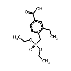 CCOP(=O)(Cc1ccc(C(=O)O)cc1CC)OCC